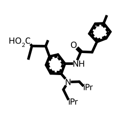 Cc1ccc(CC(=O)Nc2cc(C(C)C(C)C(=O)O)ccc2N(CC(C)C)CC(C)C)cc1